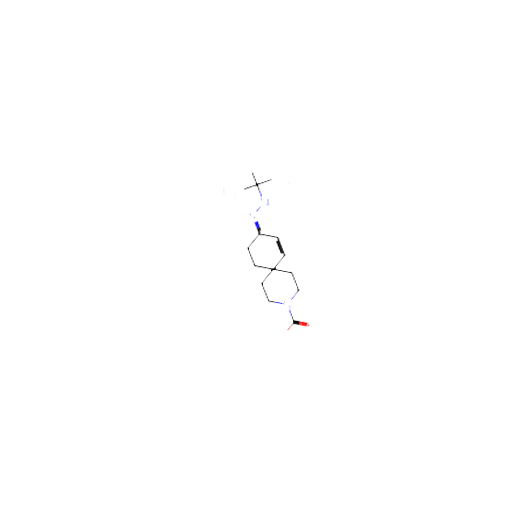 CC(C)(C)NN=C1C=CC2(CC1)CCN(C(=O)O)CC2